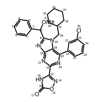 COC(c1ccccc1)c1nc2nc(-c3noc(=O)[nH]3)nc(-c3cccc(Cl)c3)c2n1CC1CCCCC1